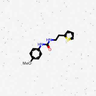 COc1ccc(NC(=O)NCCc2cccs2)cc1